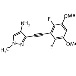 COc1cc(OC)c(F)c(C#Cc2nn(C)cc2N)c1F